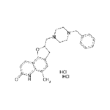 Cc1cc2c(c3ccc(=O)[nH]c13)OC(CN1CCN(Cc3ccccc3)CC1)C2.Cl.Cl